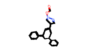 O=COn1cc(C2CC(c3ccccc3)CC(c3ccccc3)C2)cn1